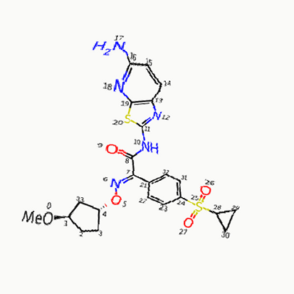 CO[C@@H]1CC[C@@H](O/N=C(/C(=O)Nc2nc3ccc(N)nc3s2)c2ccc(S(=O)(=O)C3CC3)cc2)C1